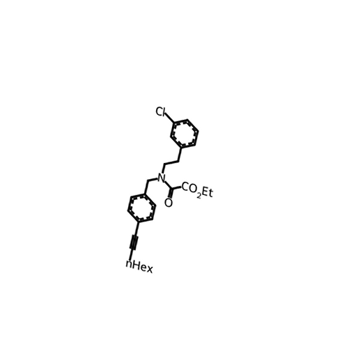 CCCCCCC#Cc1ccc(CN(CCc2cccc(Cl)c2)C(=O)C(=O)OCC)cc1